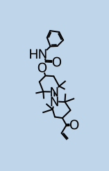 C=CC(=O)C1CC(C)(C)N(N2C(C)(C)CC(OC(=O)Nc3ccccc3)CC2(C)C)C(C)(C)C1